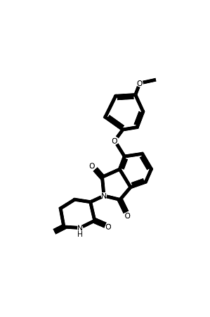 C=C1CCC(N2C(=O)c3cccc(Oc4ccc(OC)cc4)c3C2=O)C(=O)N1